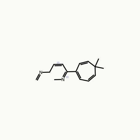 C=NC/C=C\C(=N/C)C1=CC=CC(C)(C)C=C1